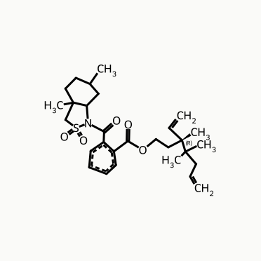 C=CCC(C)(C)[C@@](C)(C=C)CCOC(=O)c1ccccc1C(=O)N1C2CC(C)CCC2(C)CS1(=O)=O